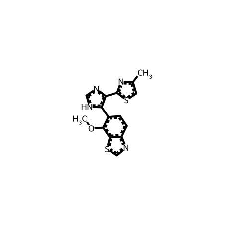 COc1c(-c2[nH]cnc2-c2nc(C)cs2)ccc2ncsc12